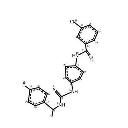 CC(NC(=S)Nc1ccc(NC(=O)c2cccc(Cl)c2)cc1)c1ccc(F)cc1